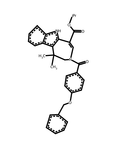 CC(C)OC(=O)C1=CN(C(=O)c2ccc(OCc3ccccc3)cc2)CC(C)(C)c2c1[nH]c1ccccc21